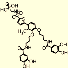 Cc1c(-c2ccc(S(=O)(=O)NCP(=O)(O)O)s2)ccc(OCCCNC(=O)c2ccc(O)c(O)c2)c1OCCCNC(=O)c1ccc(O)c(O)c1